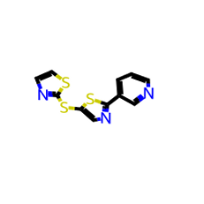 c1cncc(-c2ncc(Sc3nccs3)s2)c1